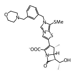 CSc1c2sc(C3=C(C(=O)[O-])N4C(=O)[C@H]([C@@H](C)O)[C@H]4[C@H]3C)c[n+]2cn1Cc1cccc(CN2CCOCC2)c1